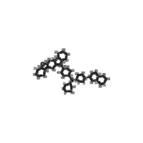 c1ccc(N(c2ccc(-c3ccc4ccccc4c3)cc2)c2ccc(-n3c4ccccc4c4cc5oc6ccccc6c5cc43)cc2)cc1